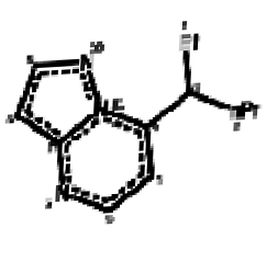 CCCC(CC)c1ccnc2ccnn12